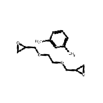 C(COCC1CO1)OCC1CO1.Cc1cccc(C)c1